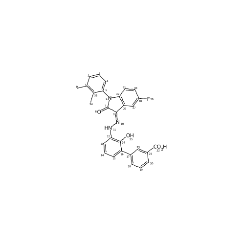 Cc1cccc(N2C(=O)C(=NNc3cccc(-c4cccc(C(=O)O)c4)c3O)c3cc(F)ccc32)c1C